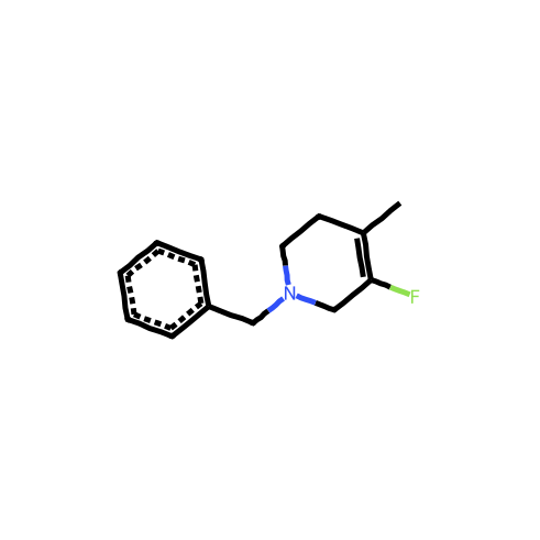 CC1=C(F)CN(Cc2ccccc2)CC1